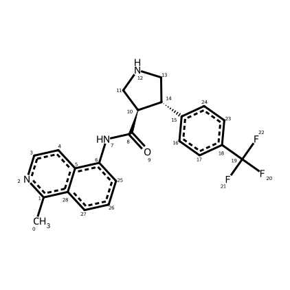 Cc1nccc2c(NC(=O)[C@H]3CNC[C@@H]3c3ccc(C(F)(F)F)cc3)cccc12